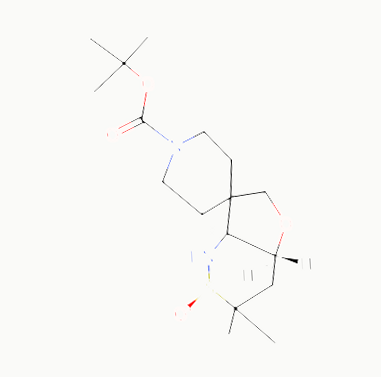 CC(C)(C)OC(=O)N1CCC2(CC1)CO[C@@H]1CC(C)(C)[S@@+]([O-])N[C@H]12